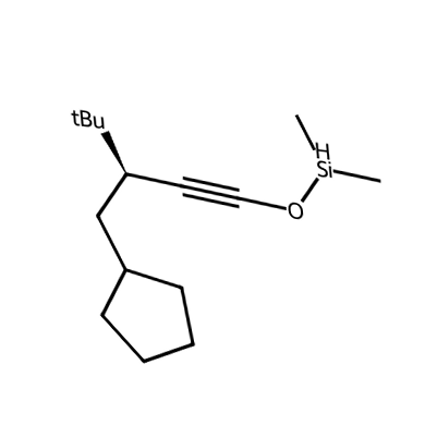 C[SiH](C)OC#C[C@@H](CC1CCCC1)C(C)(C)C